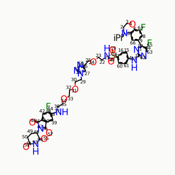 CC(C)N1CCOc2c(F)cc(-c3nc(Nc4ccc(S(=O)(=O)NCCOCc5cn(CCOCCOCCNc6cc7c(cc6F)C(=O)N(C6CCC(=O)NC6=O)C7=O)nn5)cc4)ncc3F)cc21